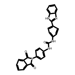 O=C(Nc1ccc(-c2nc3ccccc3[nH]2)cc1)Nc1ccc(N2C(=O)c3ccccc3C2=O)cc1